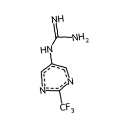 N=C(N)Nc1cnc(C(F)(F)F)nc1